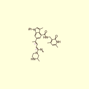 C=N/C(=C\C=C(/C)c1cc(C(=O)NCc2c(C)cc(C)[nH]c2=O)c2c(C)cn(C(C)C)c2c1)N1CCNC(C)C1